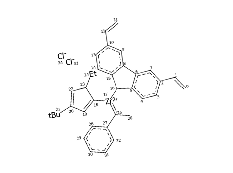 C=Cc1ccc2c(c1)-c1cc(C=C)ccc1[CH]2/[Zr+2]([C]1=CC(C(C)(C)C)=CC1CC)=[C](\C)c1ccccc1.[Cl-].[Cl-]